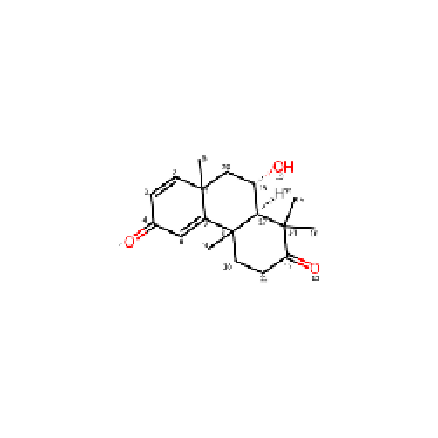 CC12C=CC(=O)C=C1C1(C)CCC(=O)C(C)(C)[C@@H]1[C@@H](O)C2